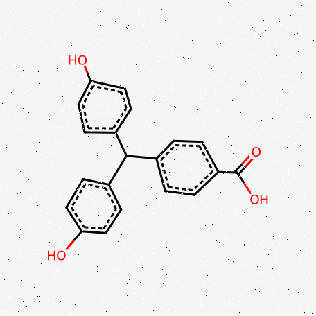 O=C(O)c1ccc(C(c2ccc(O)cc2)c2ccc(O)cc2)cc1